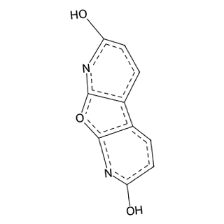 Oc1ccc2c(n1)oc1nc(O)ccc12